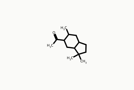 CC(=O)C1CC2C(CCC2(C)C)CC1C